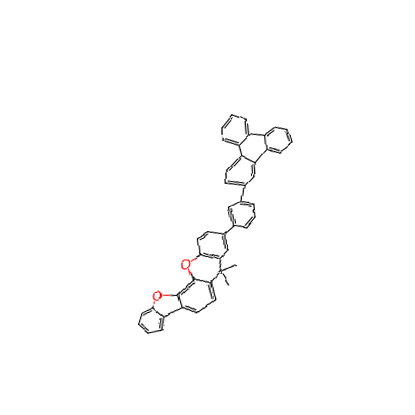 CC1(C)c2cc(-c3cccc(-c4ccc5c6ccccc6c6ccccc6c5c4)c3)ccc2Oc2c1ccc1c2oc2ccccc21